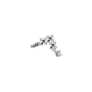 O=P([O-])([O-])[O-].O=P([O-])([O-])[O-].O=P([O-])([O-])[O-].[Ba+2].[Ba+2].[Ca+2].[Ca+2].[Cl-].[Cl-].[Cl-].[Sr+2].[Sr+2]